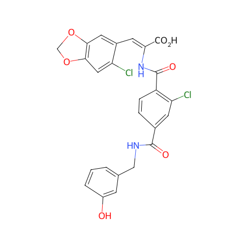 O=C(O)C(=Cc1cc2c(cc1Cl)OCO2)NC(=O)c1ccc(C(=O)NCc2cccc(O)c2)cc1Cl